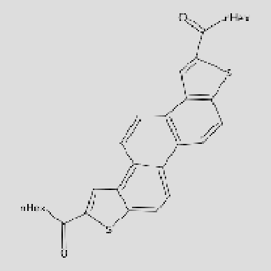 CCCCCCC(=O)c1cc2c(ccc3c2ccc2c4cc(C(=O)CCCCCC)sc4ccc23)s1